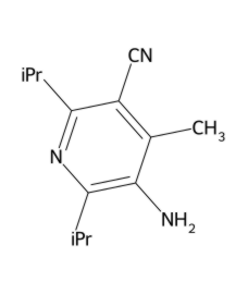 Cc1c(N)c(C(C)C)nc(C(C)C)c1C#N